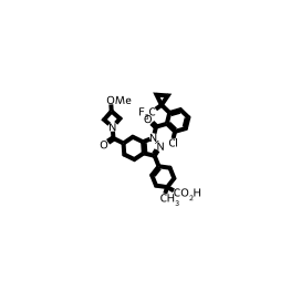 COC1CN(C(=O)C2CCc3c(C4=CCC(C)(C(=O)O)CC4)nn(C(=O)c4c(Cl)cccc4C4(C(F)(F)F)CC4)c3C2)C1